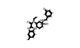 CCN(C(=O)c1nc2cc(C)ccc2[nH]1)C1CCC[C@@](S)(NCc2cccc(F)c2)C1